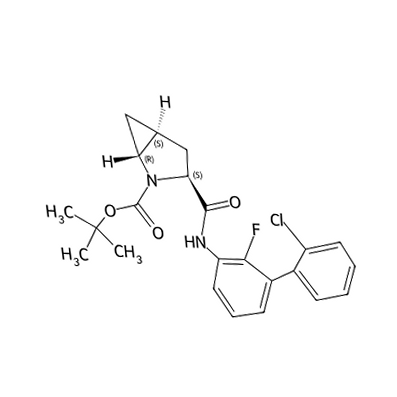 CC(C)(C)OC(=O)N1[C@@H]2C[C@H]2C[C@H]1C(=O)Nc1cccc(-c2ccccc2Cl)c1F